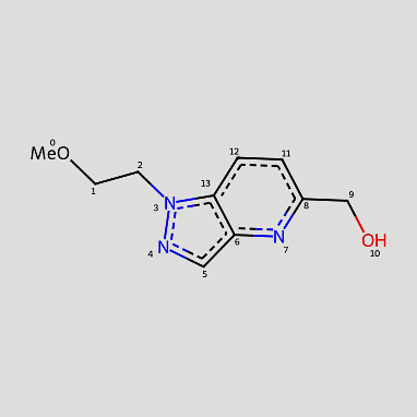 COCCn1ncc2nc(CO)ccc21